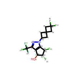 O[C@H]1c2c(C(F)(F)F)nn(C3CC4(C3)CC(F)(F)C4)c2[C@@H](F)[C@@H]1F